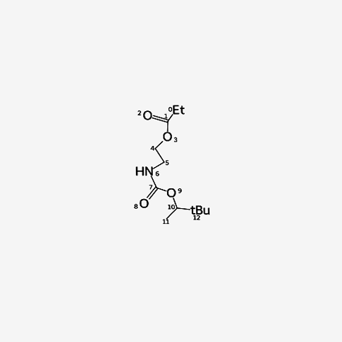 CCC(=O)OCCNC(=O)OC(C)C(C)(C)C